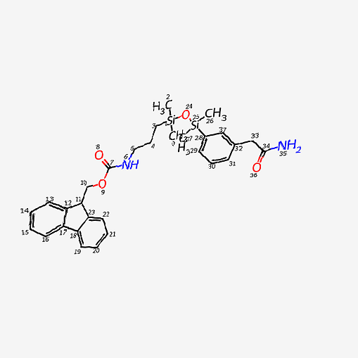 C[Si](C)(CCCNC(=O)OCC1c2ccccc2-c2ccccc21)O[Si](C)(C)c1cccc(CC(N)=O)c1